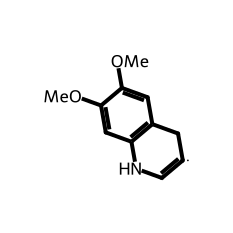 COc1cc2c(cc1OC)NC=[C]C2